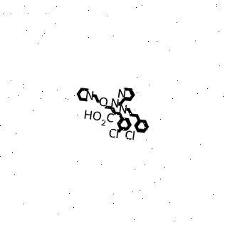 O=C(O)C1=C(COCCN2CCCCC2)N=C(c2ccccn2)N(CCCc2ccccc2)C1c1ccc(Cl)c(Cl)c1